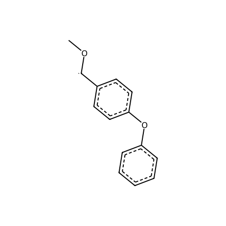 CO[CH]c1ccc(Oc2ccccc2)cc1